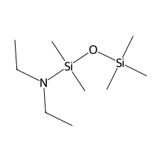 CCN(CC)[Si](C)(C)O[Si](C)(C)C